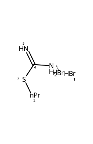 Br.Br.CCCSC(=N)N